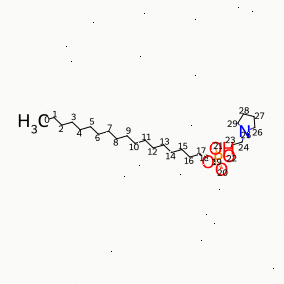 CCCCCCCCCCCCCCCCCCOP(=O)(O)OCCN1CCCC1